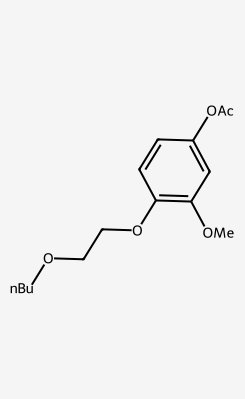 CCCCOCCOc1ccc(OC(C)=O)cc1OC